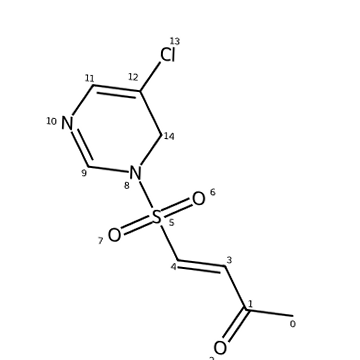 CC(=O)C=CS(=O)(=O)N1C=NC=C(Cl)C1